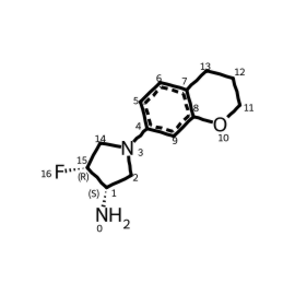 N[C@H]1CN(c2ccc3c(c2)OCCC3)C[C@H]1F